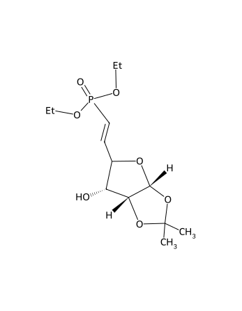 CCOP(=O)(/C=C/C1O[C@@H]2OC(C)(C)O[C@@H]2[C@@H]1O)OCC